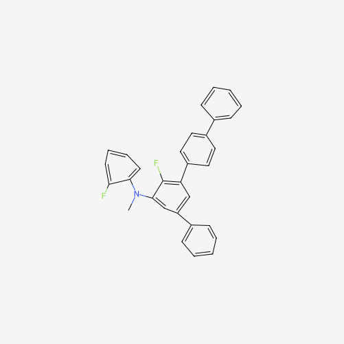 CN(c1ccccc1F)c1cc(-c2ccccc2)cc(-c2ccc(-c3ccccc3)cc2)c1F